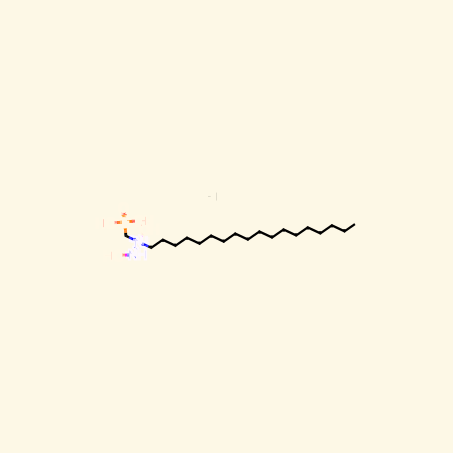 CCCCCCCCCCCCCCCCCC[N+](O)(CP(=O)(O)O)NO.[KH]